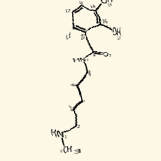 CNCCCCCNC(=O)c1cccc(O)c1O